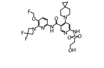 O=C(Nc1ccc(OCF)c(N2CC(F)(F)C2)n1)c1cnc(NS(=O)(=O)CCO)cc1N1CCC2(CC1)CC2